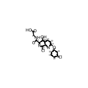 O=C(O)CNC(=O)c1nc(Cl)c2nc(Oc3cccc(Cl)c3)ccc2c1O